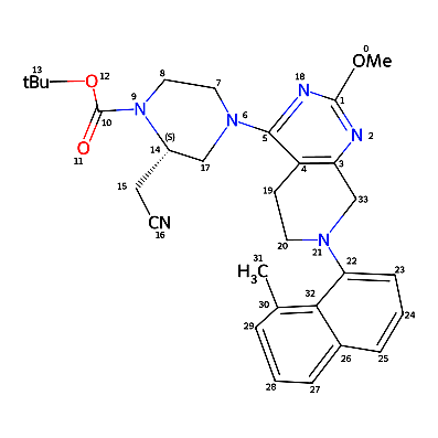 COc1nc2c(c(N3CCN(C(=O)OC(C)(C)C)[C@@H](CC#N)C3)n1)CCN(c1cccc3cccc(C)c13)C2